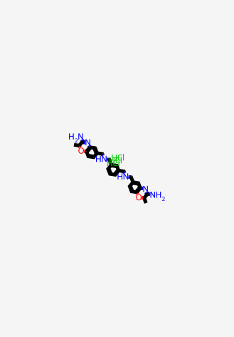 CC1Oc2ccc(CNCc3cccc(CNCc4ccc5c(c4)N=C(N)C(C)O5)c3)cc2N=C1N.Cl.Cl.Cl